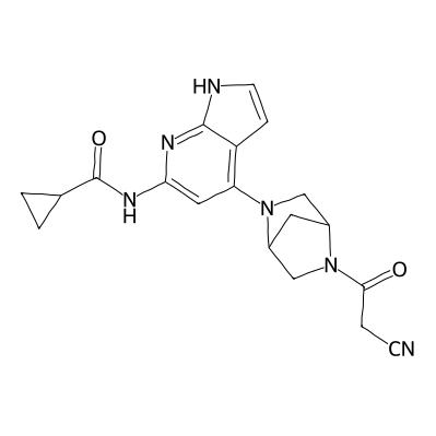 N#CCC(=O)N1CC2CC1CN2c1cc(NC(=O)C2CC2)nc2[nH]ccc12